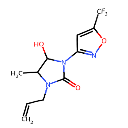 C=CCN1C(=O)N(c2cc(C(F)(F)F)on2)C(O)C1C